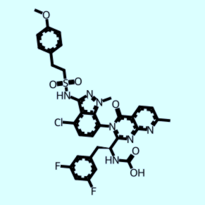 COc1ccc(CCS(=O)(=O)Nc2nn(C)c3c(-n4c([C@H](Cc5cc(F)cc(F)c5)NC(=O)O)nc5nc(C)ccc5c4=O)ccc(Cl)c23)cc1